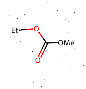 [CH2]COC(=O)OC